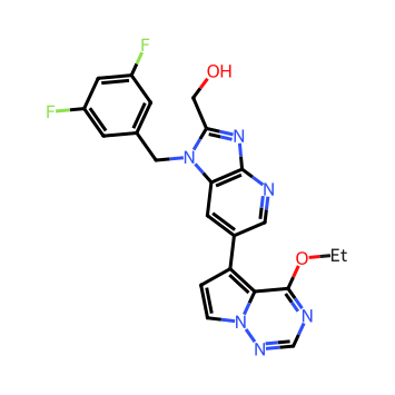 CCOc1ncnn2ccc(-c3cnc4nc(CO)n(Cc5cc(F)cc(F)c5)c4c3)c12